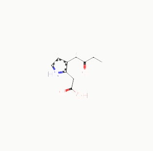 CCC(=O)Cc1cc[nH]c1CC(=O)O